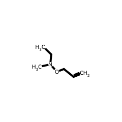 C=CCON(C)CC